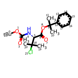 CC(C)(C)OC(=O)N[C@H](C(=O)OC(C)(C)c1ccccc1)C(C)(C)Cl